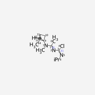 C/C(=N\C(Cl)=N/C(C)C)N(C)C12CC(C1)[C@H]2C